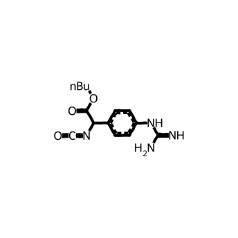 CCCCOC(=O)C(N=C=O)c1ccc(NC(=N)N)cc1